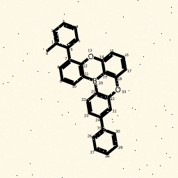 Cc1ccccc1-c1cccc2c1Oc1cccc3c1B2c1ccc(-c2ccccc2)cc1O3